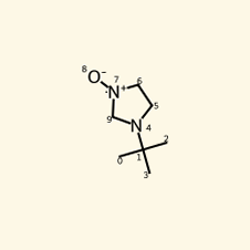 CC(C)(C)N1CC[N+]([O-])C1